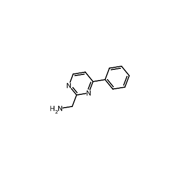 NCc1nccc(-c2ccccc2)n1